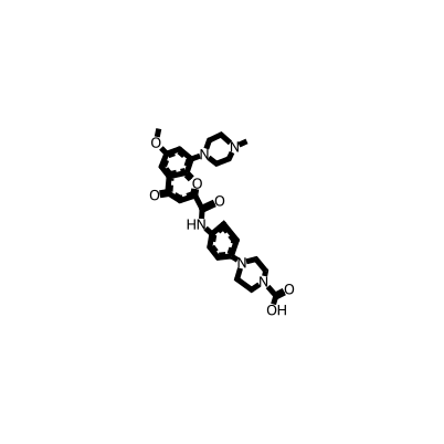 COc1cc(N2CCN(C)CC2)c2oc(C(=O)Nc3ccc(N4CCN(C(=O)O)CC4)cc3)cc(=O)c2c1